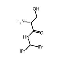 CC(C)C(NC(=O)[C@H](N)CO)C(C)C